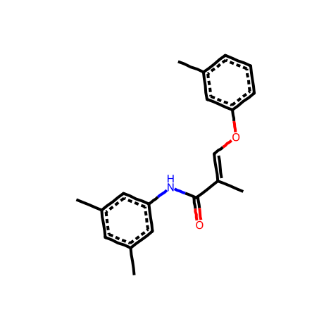 C/C(=C\Oc1cccc(C)c1)C(=O)Nc1cc(C)cc(C)c1